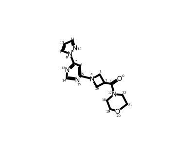 O=C(C1CN(c2cc(-n3cccn3)ncn2)C1)N1CCOCC1